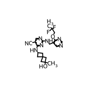 CC(F)(F)COc1ncncc1CNc1ncc(C#N)c(NC2CC3(C2)CC(C)(O)C3)n1